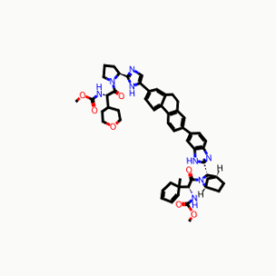 COC(=O)N[C@H](C(=O)N1CCC[C@H]1c1ncc(-c2ccc3c(c2)CCc2cc(-c4ccc5nc([C@@H]6[C@H]7CC[C@H](C7)N6C(=O)[C@H](NC(=O)OC)C6(C)C=CC=CC6)[nH]c5c4)ccc2-3)[nH]1)C1CCOCC1